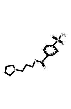 NS(=O)(=O)c1ccc(C(=O)OCCCN2CCCC2)cc1